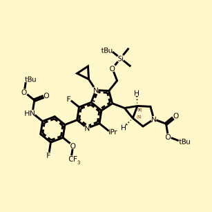 CC(C)c1nc(-c2cc(NC(=O)OC(C)(C)C)cc(F)c2OC(F)(F)F)c(F)c2c1c(C1[C@H]3CN(C(=O)OC(C)(C)C)C[C@@H]13)c(CO[Si](C)(C)C(C)(C)C)n2C1CC1